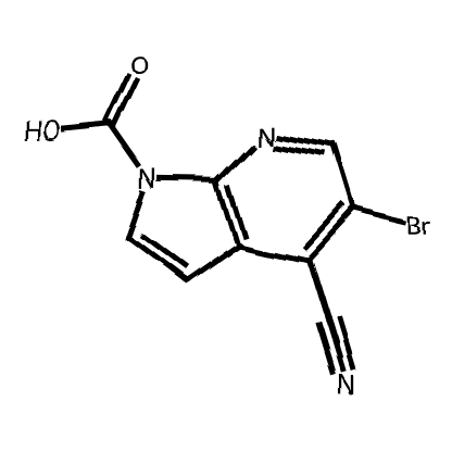 N#Cc1c(Br)cnc2c1ccn2C(=O)O